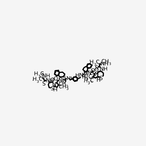 CN[C@@H](C)C(=S)N[C@H]1CCS[C@H]2CC(C)(C)[C@@H](C(=O)N[C@@H]3c4ccccc4CC[C@H]3C(=O)NCc3ccc(CNC(=O)[C@@H]4CCc5ccccc5[C@@H]4NC(=O)C4N5C(=O)[C@H](NC(=S)[C@H](C)NC)CCS[C@H]5CC4(C)C)cc3)N2C1=O